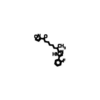 CC(CCCCCC(=O)c1ccon1)c1ncc(-c2ccccc2F)[nH]1